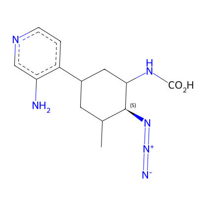 CC1CC(c2ccncc2N)CC(NC(=O)O)[C@H]1N=[N+]=[N-]